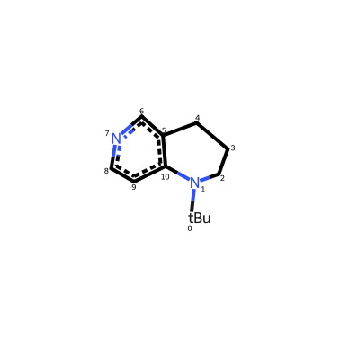 CC(C)(C)N1CCCc2cnccc21